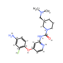 CN(C)C[C@H]1CCCN(C(=O)Nc2cc(Oc3ccc(N)cc3F)ccn2)C1